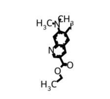 CCOC(=O)c1cnc2cc(N(C)C)c(I)cc2c1